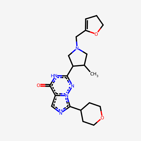 CC1CN(CC2=CCCO2)CC1c1nn2c(C3CCOCC3)ncc2c(=O)[nH]1